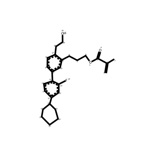 C=C(C)C(=O)OCCCc1cc(-c2ccc(C3CCCCC3)cc2F)ccc1CCO